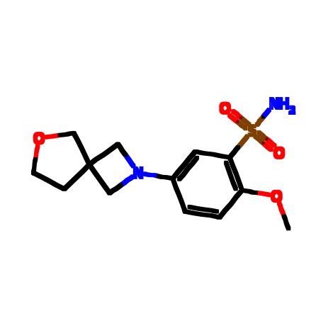 COc1ccc(N2CC3(CCOC3)C2)cc1S(N)(=O)=O